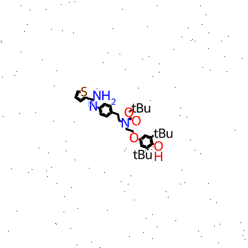 CC(C)(C)OC(=O)N(CCOc1cc(C(C)(C)C)c(O)c(C(C)(C)C)c1)CCc1ccc(/N=C(\N)c2cccs2)cc1